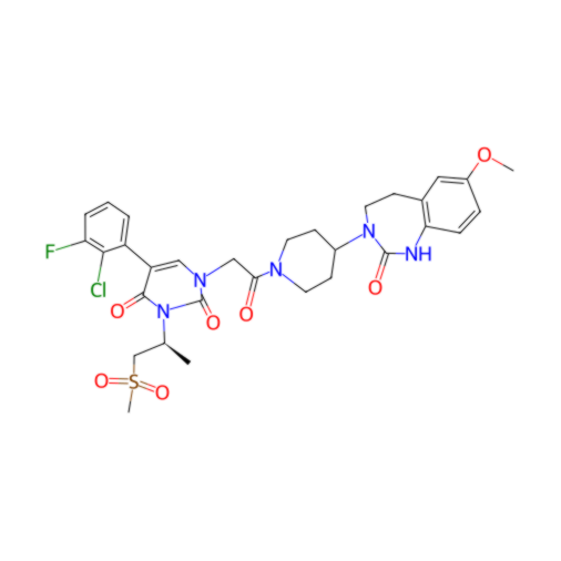 COc1ccc2c(c1)CCN(C1CCN(C(=O)Cn3cc(-c4cccc(F)c4Cl)c(=O)n([C@@H](C)CS(C)(=O)=O)c3=O)CC1)C(=O)N2